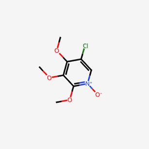 COc1c(Cl)c[n+]([O-])c(OC)c1OC